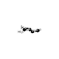 Cn1c(CN2CCC(c3cccc(OCc4ccc(Cl)cn4)n3)CC2)nc2c(OC(F)F)cc(C(=O)O)cc21